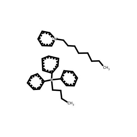 CCCCCCCC[n+]1ccccc1.CCCC[B-](c1ccccc1)(c1ccccc1)c1ccccc1